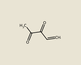 [CH]=CC(=O)C(C)=O